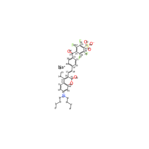 CCCCN(CCCC)c1ccc2c(CC)c(/C=C/c3ccc(C(=O)c4c(F)c(F)c(S(=O)(=O)[O-])c(F)c4F)cc3)c(=O)oc2c1.[Na+]